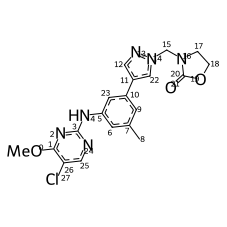 COc1nc(Nc2cc(C)cc(-c3cnn(CN4CCOC4=O)c3)c2)ncc1Cl